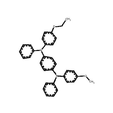 CCOc1ccc(N(c2ccccc2)c2ccc(N(c3ccccc3)c3ccc(OC)cc3)cc2)cc1